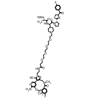 CN[C@@H](C)C(=O)NC(C(=O)N1CCC[C@H]1C1=NC(C(=O)c2ccc(F)cc2)CS1)C1CCN(CCOCCOCCOCCOCCC(=O)NCCn2nc3c(c2C#N)-c2cnc(N)c(c2)O[C@H](C)c2cc(F)ccc2C(=O)N(C)C3)CC1